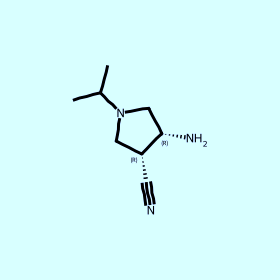 CC(C)N1C[C@@H](C#N)[C@@H](N)C1